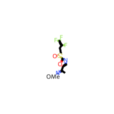 CO/N=C(\C)c1cnc([S+]([O-])CCC(F)=C(F)F)o1